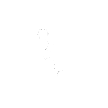 CC(C)(C)OC(=O)NCC1=NOC(C=O)(C(O)c2ccccc2)C1